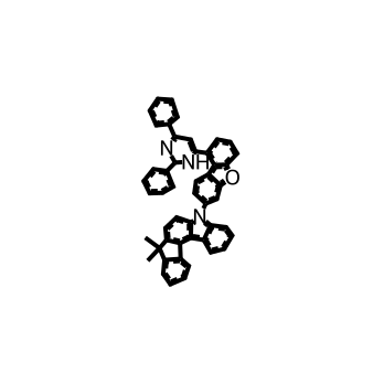 CC1(C)c2ccccc2-c2c1ccc1c2c2ccccc2n1-c1ccc2c(c1)oc1cccc(C3=CC(c4ccccc4)=NC(c4ccccc4)N3)c12